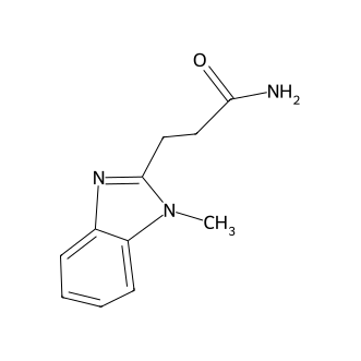 Cn1c(CCC(N)=O)nc2ccccc21